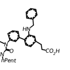 CCCCCNC(=O)N(C)c1cccc(-c2ccc(CCC(=O)O)cc2NCc2ccccc2)c1